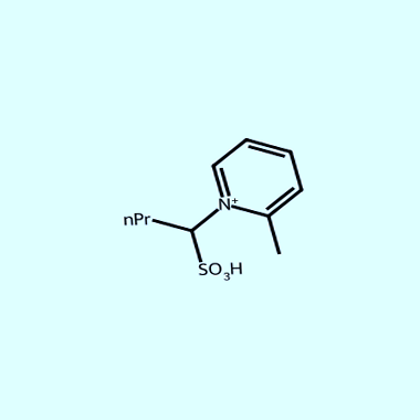 CCCC([n+]1ccccc1C)S(=O)(=O)O